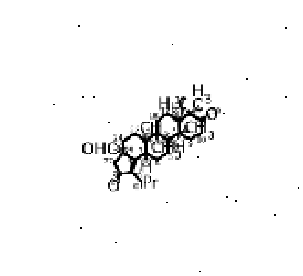 CC(C)C1=C2[C@H]3CC[C@@H]4[C@@]5(C)CCC(=O)C(C)(C)[C@@H]5CC[C@@]4(C)[C@]3(C)CC[C@@]2(C=O)CC1=O